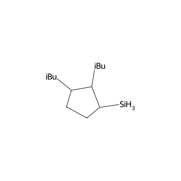 CCC(C)C1CCC([SiH3])C1C(C)CC